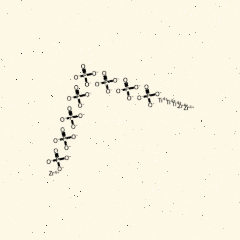 O=P([O-])([O-])[O-].O=P([O-])([O-])[O-].O=P([O-])([O-])[O-].O=P([O-])([O-])[O-].O=P([O-])([O-])[O-].O=P([O-])([O-])[O-].O=P([O-])([O-])[O-].O=P([O-])([O-])[O-].[Ti+4].[Ti+4].[Ti+4].[Zr+4].[Zr+4].[Zr+4]